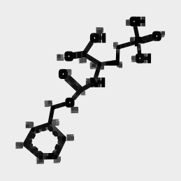 O=C(N[C@H](CCP(=O)(O)O)C(=O)O)OCc1ccccc1